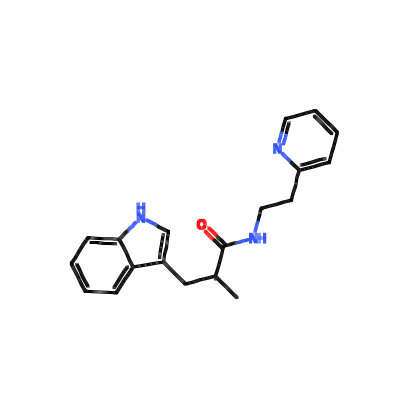 C[C](Cc1c[nH]c2ccccc12)C(=O)NCCc1ccccn1